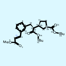 COC(=O)/C=C/c1cccc(C[C@H](C(=O)OC(C)(C)C)[C@H]2CCN(C(=O)OC(C)(C)C)C2)c1